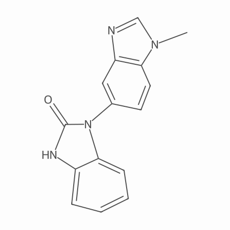 Cn1cnc2cc(-n3c(=O)[nH]c4ccccc43)ccc21